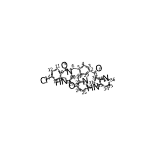 O=C(c1ccc(CN2C(=O)c3ccc(Cl)cc3NC(=O)[C@H]2Cc2ccccn2)cc1)c1c[nH]c2cccnc12